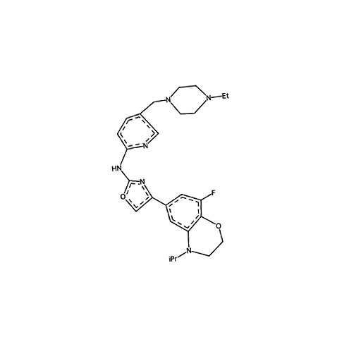 CCN1CCN(Cc2ccc(Nc3nc(-c4cc(F)c5c(c4)N(C(C)C)CCO5)co3)nc2)CC1